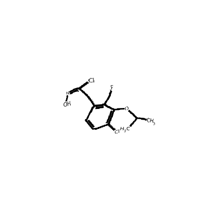 CC(C)Oc1c(Cl)ccc(/C(Cl)=N\O)c1F